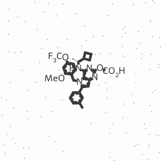 COc1cc(OC(F)(F)F)ccc1Cn1c(-c2cccc(C)c2)cc2nc(OC(=O)O)nc(N[C@H](C)C3CCC3)c21